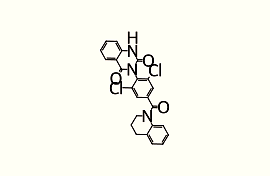 O=C(c1cc(Cl)c(-n2c(=O)[nH]c3ccccc3c2=O)c(Cl)c1)N1CCCc2ccccc21